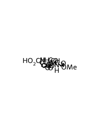 COC(=O)CCNC(=O)[C@H]1OP(=O)(Oc2ccc(CC(N)C(=O)O)cc2)OCC1(C)C